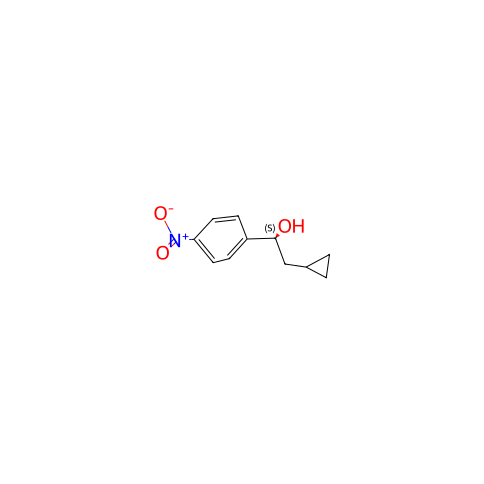 O=[N+]([O-])c1ccc([C@@H](O)CC2CC2)cc1